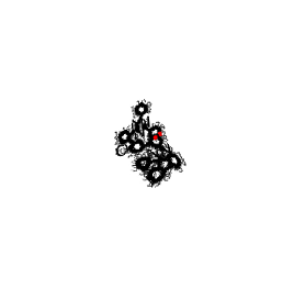 c1ccc(-c2nc(-c3ccccc3)nc(-c3cccc4oc5ccc(-c6cccc7nc8n(c67)-c6ccccc6C86c7ccccc7-c7ccccc76)cc5c34)n2)cc1